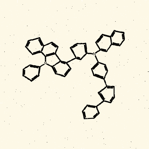 c1ccc(-c2cccc(-c3ccc(N(c4cccc(-c5cccc6c5c5ccc7ccccc7c5n6-c5ccccc5)c4)c4ccc5ccccc5c4)cc3)c2)cc1